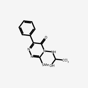 CSc1nnc(-c2ccccc2)c(=O)n1NC(O)C(Cl)(Cl)Cl